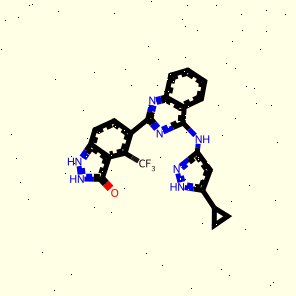 O=c1[nH][nH]c2ccc(-c3nc(Nc4cc(C5CC5)[nH]n4)c4ccccc4n3)c(C(F)(F)F)c12